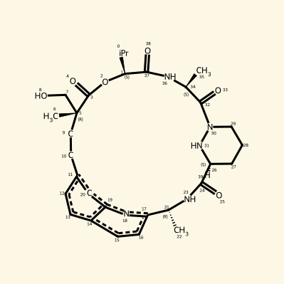 CC(C)[C@@H]1OC(=O)[C@@](C)(CO)CCc2ccc3ccc(nc3c2)[C@@H](C)NC(=O)[C@@H]2CCCN(N2)C(=O)[C@H](C)NC1=O